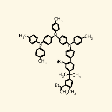 C=C(CC)c1cc(C(C)(C)c2ccc(-c3ccc(N(c4ccc(C)cc4)c4ccc(N(c5ccc(C)cc5)c5ccc(N(c6ccc(C)cc6)c6ccc(C)cc6)cc5)cc4)cc3)c(C(C)CC)c2)ccc1C